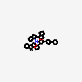 CC1(C)c2ccccc2-c2cc(N(c3ccc(-c4ccc(C5CCCCC5)cc4)cc3-c3ccccc3)c3c(-c4cccc5ccccc45)ccc4ccccc34)ccc21